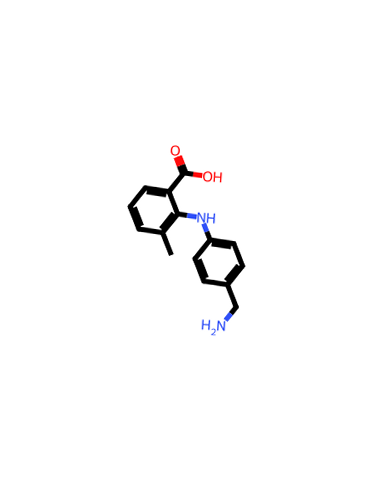 Cc1cccc(C(=O)O)c1Nc1ccc(CN)cc1